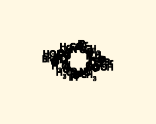 CC(C)C[C@H]1C(=O)O[C@H](Cc2ccc([C@H](O)c3sccc3Br)cc2)C(=O)N(C)[C@@H](CC(C)C)C(=O)O[C@H](C)C(=O)N(C)[C@@H](CC(C)C)C(=O)O[C@H](Cc2ccc([C@@H](O)c3sccc3Br)cc2)C(=O)N(C)[C@@H](CC(C)C)C(=O)O[C@H](C)C(=O)N1C